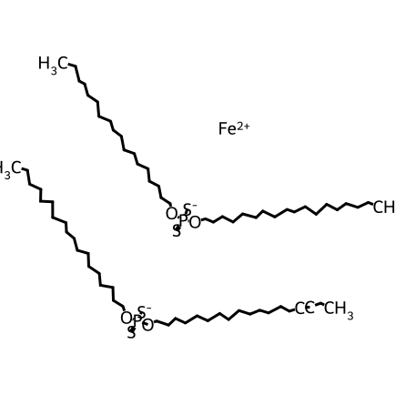 CCCCCCCCCCCCCCCCCCOP(=S)([S-])OCCCCCCCCCCCCCCCCCC.CCCCCCCCCCCCCCCCCCOP(=S)([S-])OCCCCCCCCCCCCCCCCCC.[Fe+2]